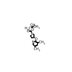 Cc1cnc(O[C@H]2CCN(C(=O)OC(C)(C)C)C2)c(C)c1